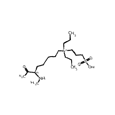 CCC[N+](CCC)(CCCCC[C@@H](NC)C(C)=O)CCCS(=O)(=O)O